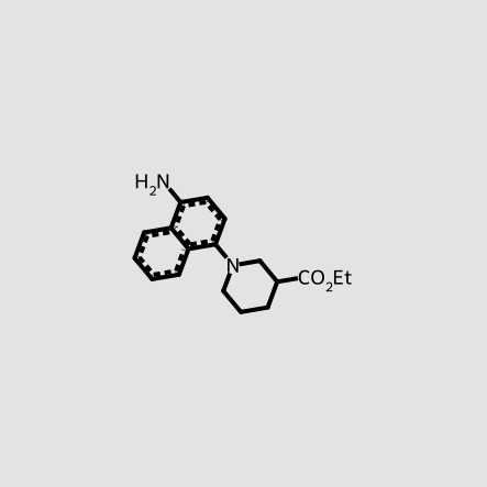 CCOC(=O)C1CCCN(c2ccc(N)c3ccccc23)C1